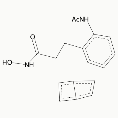 CC(=O)Nc1ccccc1CCC(=O)NO.c1cc2ccc1-2